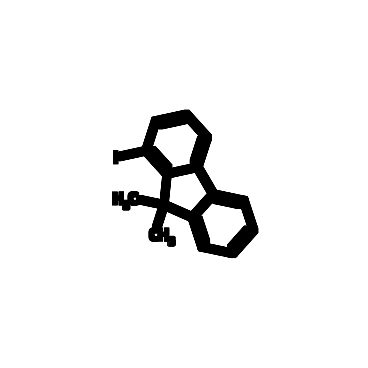 CC1(C)c2ccccc2-c2cccc(I)c21